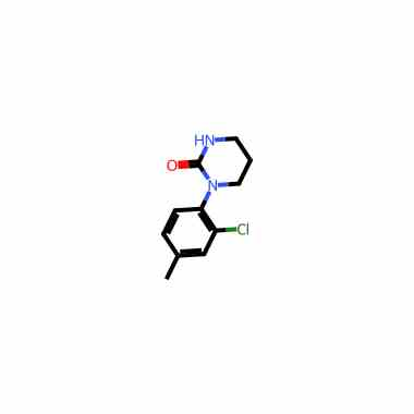 Cc1ccc(N2CCCNC2=O)c(Cl)c1